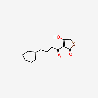 O=C(CCCC1CCCCC1)C1=C(O)CSC1=O